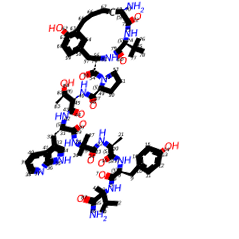 CC(C)C(C)(NC(=O)[C@H](Cc1ccc(O)cc1)NC(=O)[C@H](C)NC(=O)C(C)(C)NC(=O)[C@H](Cc1c[nH]c2ncccc12)NC(=O)[C@@H](NC(=O)[C@@H]1CCCN1C(=O)[C@@H]1Cc2ccc(O)c(c2)CCCC[C@H](N)C(=O)N[C@@H](C(C)(C)C)C(=O)N1)[C@@H](C)O)C(N)=O